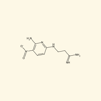 N=C(N)CCNc1ccc([N+](=O)[O-])c(N)n1